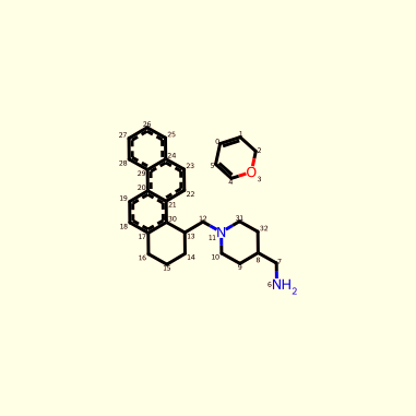 C1=CCOC=C1.NCC1CCN(CC2CCCc3ccc4c(ccc5ccccc54)c32)CC1